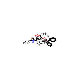 C/C(=C\c1csc(C)n1)C[C@H](O[Si](c1ccccc1)(c1ccccc1)C(C)(C)C)[C@@H](C)O